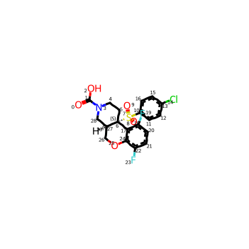 O=C(O)N1CC[C@@]2(S(=O)(=O)c3ccc(Cl)cc3)c3c(F)ccc(F)c3OC[C@H]2C1